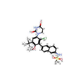 COc1c(C(C)(C)C)cc(N2CCC(=O)NC2=O)c(Cl)c1-c1ccc2cc(NS(C)(=O)=O)ccc2c1